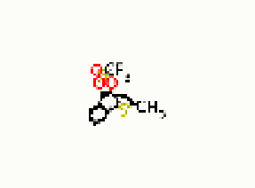 Cc1cc2c(OS(=O)(=O)C(F)(F)F)cc3ccccc3c2s1